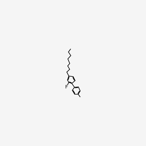 CCCCCCCCc1ccc(-c2ccc(C)cc2)c(F)c1